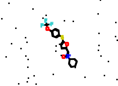 [O-][N+](=Cc1ccc(Sc2ccc(OC(F)(F)F)cc2)o1)C1CCCCC1